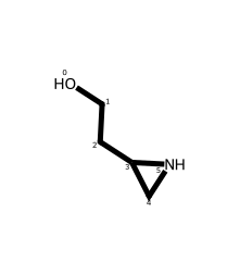 OCCC1CN1